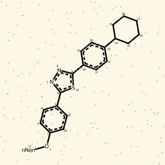 CCCCCCCCCOc1ccc(-c2nnc(-c3ccc(C4CCCCC4)cc3)s2)cc1